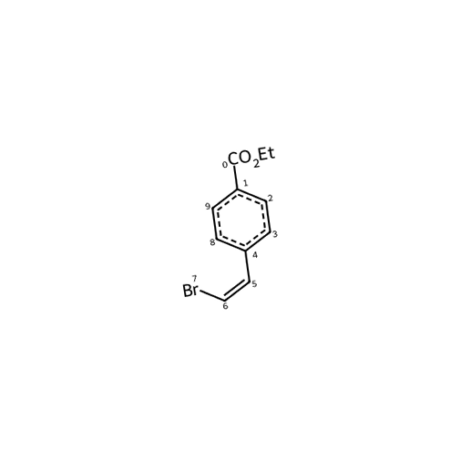 CCOC(=O)c1ccc(/C=C\Br)cc1